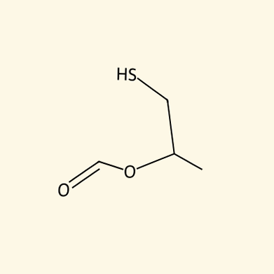 CC(CS)OC=O